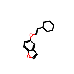 [c]1cc2cc(OCCC3CCCCC3)ccc2o1